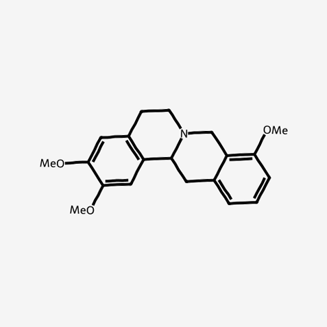 COc1cc2c(cc1OC)C1Cc3cccc(OC)c3CN1CC2